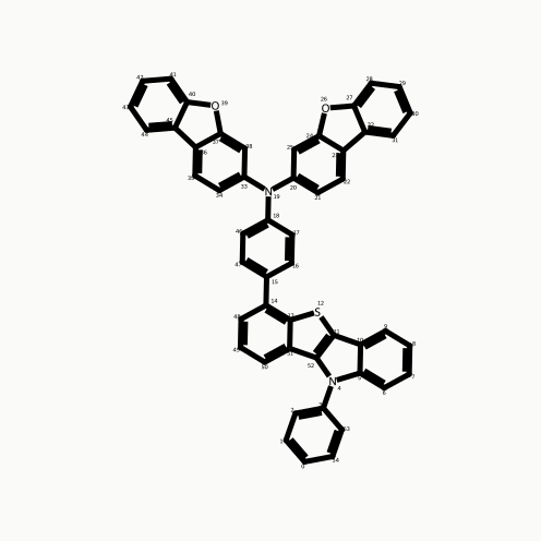 c1ccc(-n2c3ccccc3c3sc4c(-c5ccc(N(c6ccc7c(c6)oc6ccccc67)c6ccc7c(c6)oc6ccccc67)cc5)cccc4c32)cc1